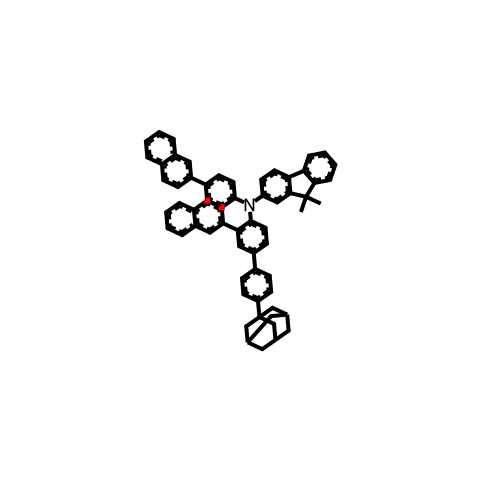 CC1(C)c2ccccc2-c2ccc(N(c3ccc(-c4ccc5ccccc5c4)cc3)c3ccc(-c4ccc(C56CC7CC(CC(C7)C5)C6)cc4)cc3-c3ccc4ccccc4c3)cc21